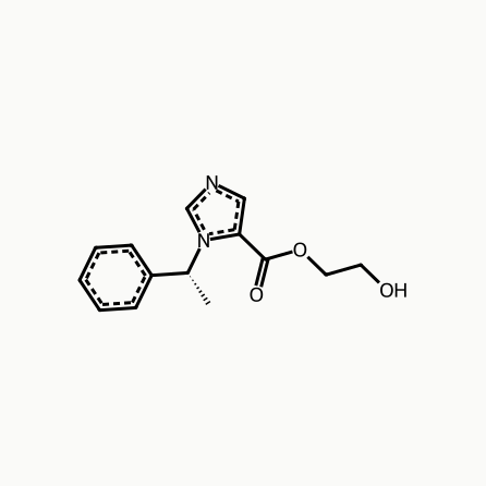 C[C@H](c1ccccc1)n1cncc1C(=O)OCCO